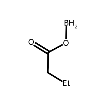 BOC(=O)CCC